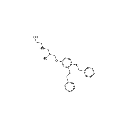 OCCNCC(O)COc1ccc(OCc2ccccc2)c(OCc2ccccc2)c1